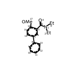 CCN(CC)C(=O)c1cc(-c2ccccc2)ccc1OC